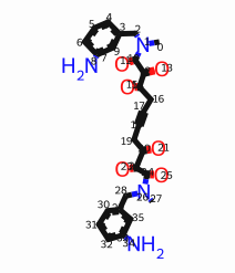 CN(Cc1cccc(N)c1)C(=O)C(=O)C(=O)CC#CCC(=O)C(=O)C(=O)N(C)Cc1cccc(N)c1